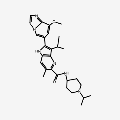 COc1cc(-c2[nH]c3cc(C)c(C(=O)NC4CCN(C(C)C)CC4)nc3c2C(C)C)cn2ncnc12